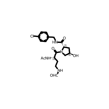 CC(=O)N[C@@H](CCNC=O)C(=O)N1C[C@H](O)C[C@H]1C(=O)NCc1ccc(Cl)cc1